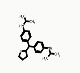 CC(C)Nc1ccc(C(c2ccc(NC(C)C)cc2)C2CCCO2)cc1